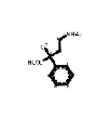 CC(=O)NCCC(Cl)(C(=O)O)c1ccccc1